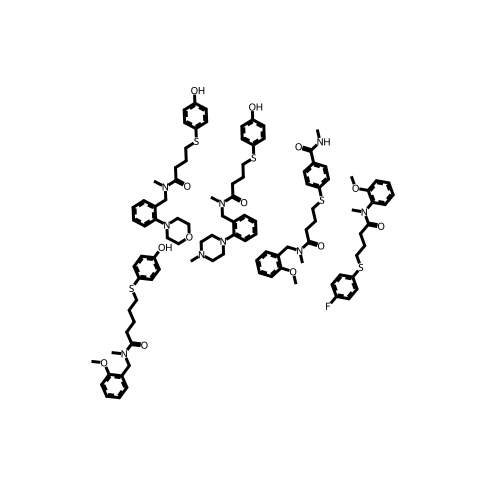 CN(Cc1ccccc1N1CCOCC1)C(=O)CCCSc1ccc(O)cc1.CN1CCN(c2ccccc2CN(C)C(=O)CCCSc2ccc(O)cc2)CC1.CNC(=O)c1ccc(SCCCC(=O)N(C)Cc2ccccc2OC)cc1.COc1ccccc1CN(C)C(=O)CCCCSc1ccc(O)cc1.COc1ccccc1N(C)C(=O)CCCSc1ccc(F)cc1